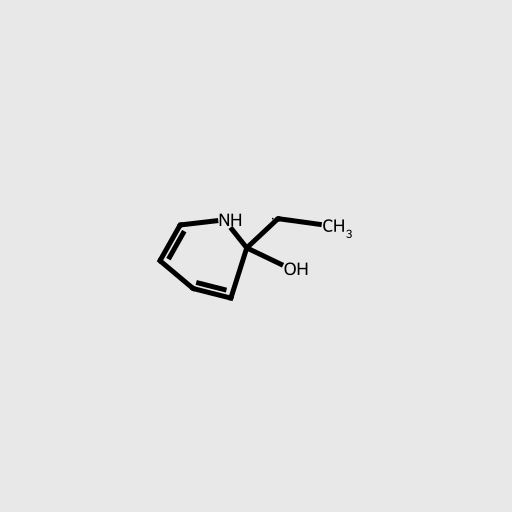 C[CH]C1(O)C=CC=CN1